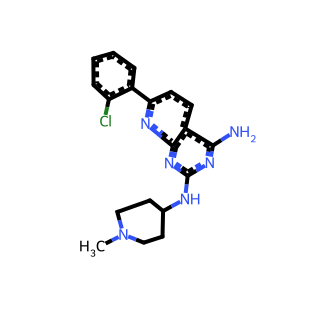 CN1CCC(Nc2nc(N)c3ccc(-c4ccccc4Cl)nc3n2)CC1